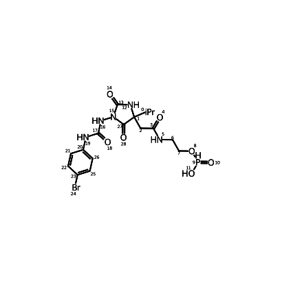 CC(C)C1(CC(=O)NCCO[PH](=O)O)NC(=O)N(NC(=O)Nc2ccc(Br)cc2)C1=O